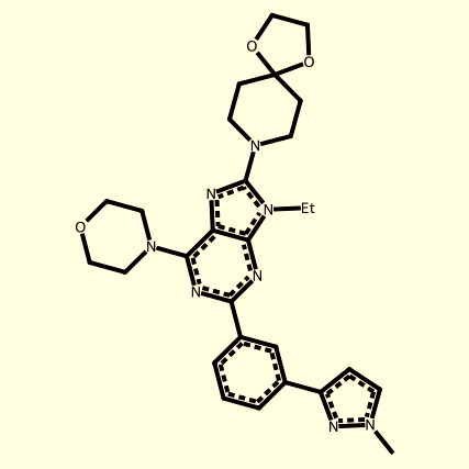 CCn1c(N2CCC3(CC2)OCCO3)nc2c(N3CCOCC3)nc(-c3cccc(-c4ccn(C)n4)c3)nc21